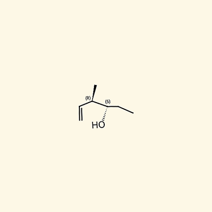 C=C[C@@H](C)[C@@H](O)CC